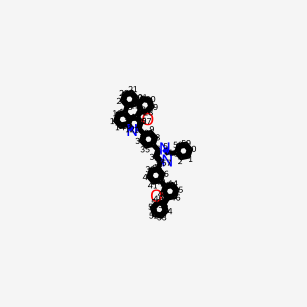 c1ccc(-c2nc(-c3ccc(-c4nc5cccc(-c6ccccc6)c5c5c4oc4ccccc45)cc3)cc(-c3cccc(-c4cccc5c4oc4ccccc45)c3)n2)cc1